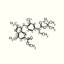 CCN(C(=O)OC(C)(C)C)c1ccc(Cn2c(C)nc3c(C)cc(C(=O)OC)nc32)c(Cl)c1